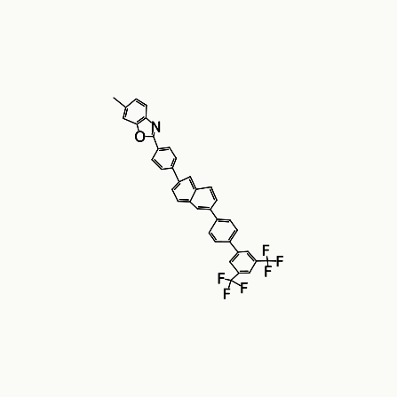 Cc1ccc2nc(-c3ccc(-c4ccc5cc(-c6ccc(-c7cc(C(F)(F)F)cc(C(F)(F)F)c7)cc6)ccc5c4)cc3)oc2c1